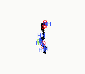 O=C1Cc2cccc(Oc3cccc(CCCCCNCC4CCC(n5cc(NC(=O)c6coc(-c7ccnc(NCC8CC8)c7)n6)c(C(F)F)n5)CC4)c3)c2C(=O)N1